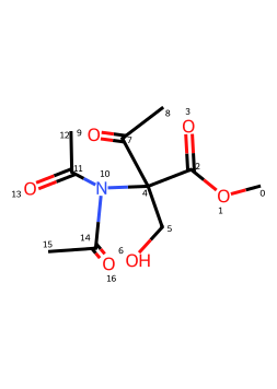 COC(=O)C(CO)(C(C)=O)N(C(C)=O)C(C)=O